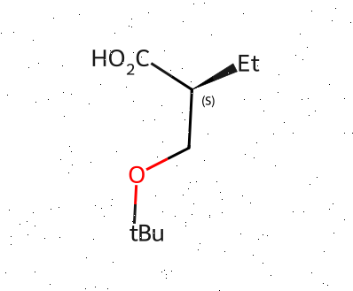 CC[C@@H](COC(C)(C)C)C(=O)O